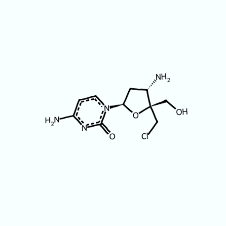 Nc1ccn([C@H]2C[C@H](N)[C@](CO)(CCl)O2)c(=O)n1